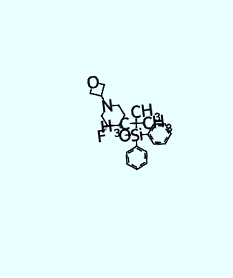 CC(C)(C)[Si](O[C@H]1CCN(C2COC2)C[C@H]1F)(c1ccccc1)c1ccccc1